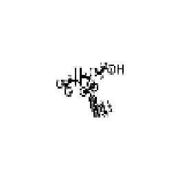 O=C([O-])CNCC(=O)OCCO.O=[Si]([O-])[O-].[Na+].[Na+].[Na+]